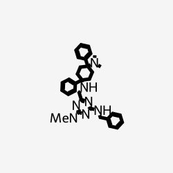 CNc1nc(CNC2(c3ccccc3)CCC(c3ccccc3)(N(C)C)CC2)nc(NCc2ccccc2)n1